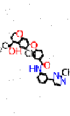 C=C(O)C1CCOc2cc(Oc3ccc(C(=O)Nc4cccc(-c5ccnc(C)n5)c4)cc3)c(C#N)cc21